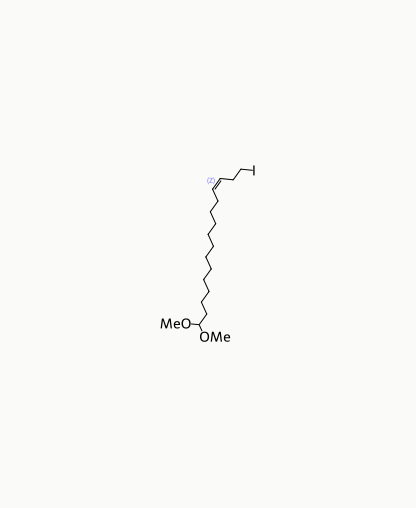 COC(CCCCCCCCCCC/C=C\CCI)OC